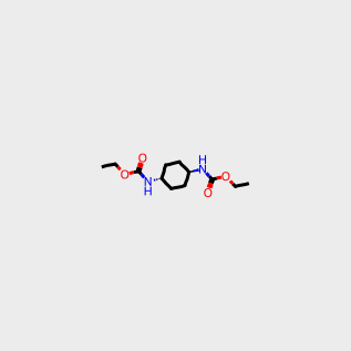 CCOC(=O)N[C@H]1CC[C@H](NC(=O)OCC)CC1